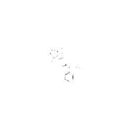 CN1[C@@H]2C[C@@H](OC(=O)C(CO)c3ccccc3)C[C@H]1[C@@H]1O[C@@H]12